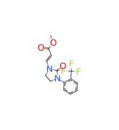 COC(=O)C=CN1CCN(c2ccccc2C(F)(F)F)C1=O